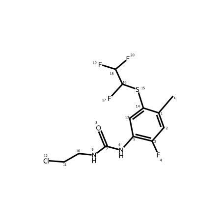 Cc1cc(F)c(NC(=O)NCCCl)cc1SC(F)C(F)F